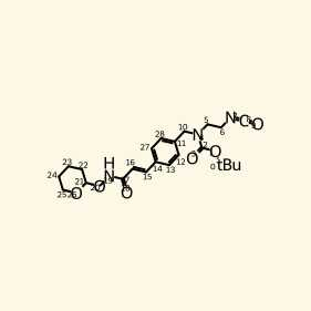 CC(C)(C)OC(=O)N(CCN=C=O)Cc1ccc(/C=C/C(=O)NOC2CCCCO2)cc1